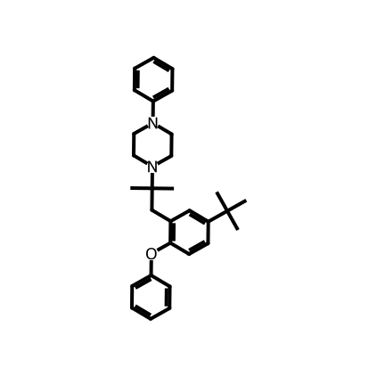 CC(C)(C)c1ccc(Oc2ccccc2)c(CC(C)(C)N2CCN(c3ccccc3)CC2)c1